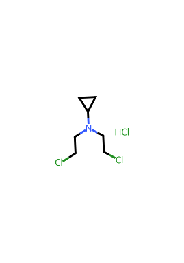 Cl.ClCCN(CCCl)C1CC1